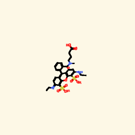 CC/N=c1\ccc2c(-c3ccccc3C(=O)N(C)CCCC(=O)O)c3ccc(NCC)c(S(=O)(=O)O)c3oc-2c1S(=O)(=O)O